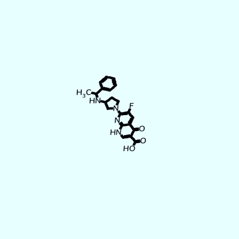 CC(NC1CCN(c2nc3[nH]cc(C(=O)O)c(=O)c3cc2F)C1)c1ccccc1